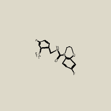 O=C(NCc1ccc(F)cc1C(F)(F)F)N1CCCOc2cc(F)ccc21